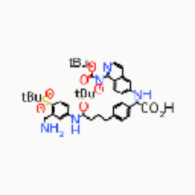 CC(C)(C)OC(=O)N(OC(C)(C)C)c1nccc2cc(NC(C(=O)O)c3ccc(CCCC(=O)Nc4ccc(S(=O)(=O)C(C)(C)C)c(CN)c4)cc3)ccc12